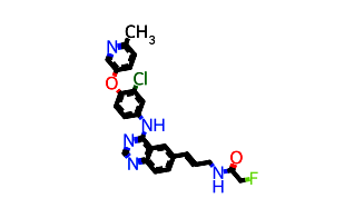 Cc1ccc(Oc2ccc(Nc3ncnc4ccc(C=CCNC(=O)CF)cc34)cc2Cl)cn1